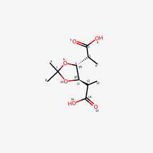 CC(C(=O)O)[C@H]1OC(C)(C)O[C@@H]1C(C)C(=O)O